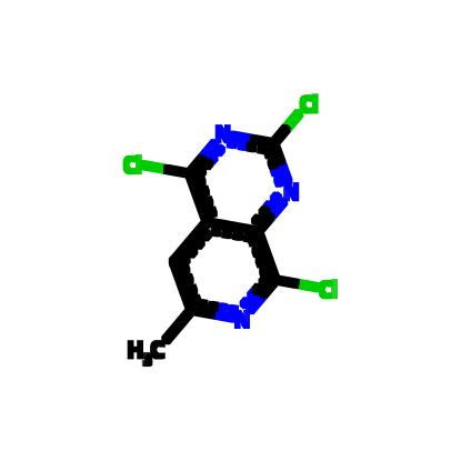 Cc1cc2c(Cl)nc(Cl)nc2c(Cl)n1